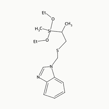 CCO[Si](C)(OCC)C(C)CSCn1cnc2ccccc21